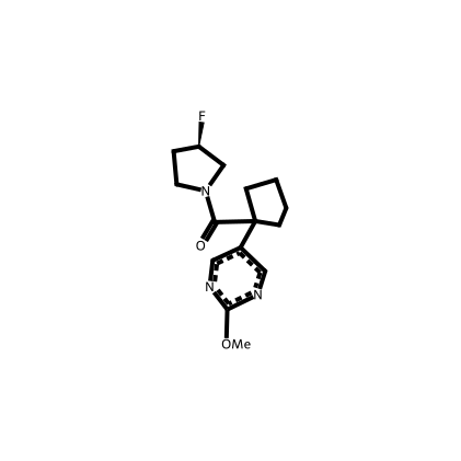 COc1ncc(C2(C(=O)N3CC[C@@H](F)C3)CCCC2)cn1